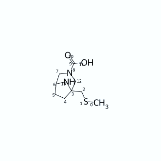 CSCC12CCC(CN(C(=O)O)C1)N2